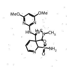 COc1cc(OC)nc(NC(=O)C2(C(=O)N(C)C)C=CC=NC2S(N)(=O)=O)n1